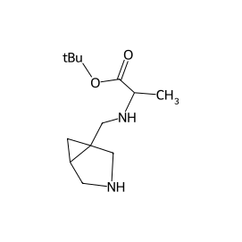 CC(NCC12CNCC1C2)C(=O)OC(C)(C)C